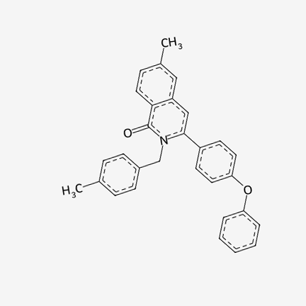 Cc1ccc(Cn2c(-c3ccc(Oc4ccccc4)cc3)cc3cc(C)ccc3c2=O)cc1